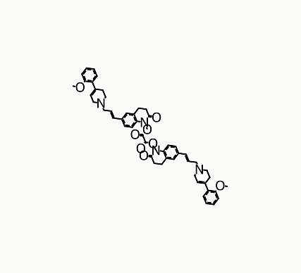 COc1ccccc1C1=CCN(CC=Cc2ccc3c(c2)CCC(=O)N3OC(=O)C(=O)ON2C(=O)CCc3cc(C=CCN4CC=C(c5ccccc5OC)CC4)ccc32)CC1